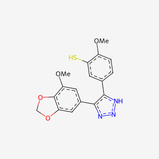 COc1ccc(-c2[nH]nnc2-c2cc(OC)c3c(c2)OCO3)cc1S